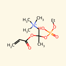 C=CC(=O)OC(C)(C[N+](C)(C)C)OP(=O)(O)OCC